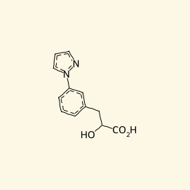 O=C(O)C(O)Cc1cccc(-n2cccn2)c1